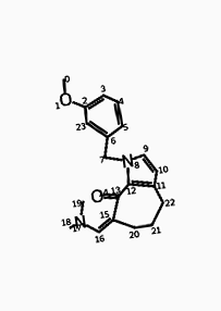 COc1cccc(Cn2ccc3c2C(=O)C(=CN(C)C)CCC3)c1